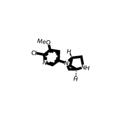 COc1cc(N2C[C@H]3C[C@@H]2CN3)cnc1Cl